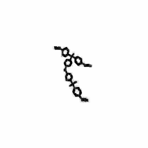 COc1ccc(C(C)(C)c2ccc(Oc3ccc(C(C)(c4ccc(OC)cc4)c4ccc(OC)cc4)cc3)cc2)cc1